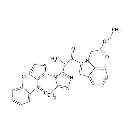 CCOC(=O)Cn1c(C(=O)N(C)c2nnc(C)n2-c2sccc2C(=O)c2ccccc2Cl)cc2ccccc21